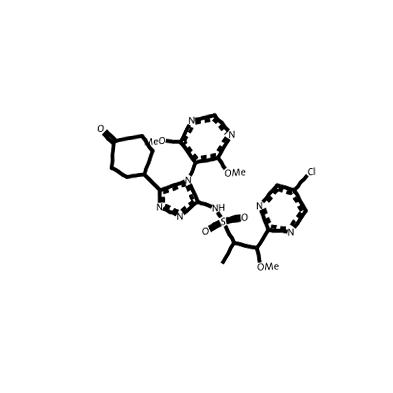 COc1ncnc(OC)c1-n1c(NS(=O)(=O)C(C)C(OC)c2ncc(Cl)cn2)nnc1C1CCC(=O)CC1